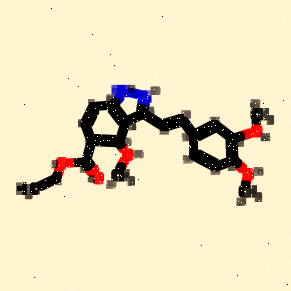 CCOC(=O)c1ccc2[nH]nc(C=Cc3ccc(OC)c(OC)c3)c2c1OC